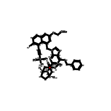 COCOc1cc(Cn2cnc3c(SCc4ccccc4)nc(N4C[C@H]5CC[C@@H](C4)N5C(=O)OC(C)(C)C)nc32)c2c(C#C[Si](C(C)C)(C(C)C)C(C)C)c(F)ccc2c1